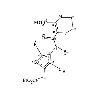 CCOC(=O)Cc1sc(F)c(N(C(C)=O)C(=O)C2=C(C(=O)OCC)CCCC2)c1Cl